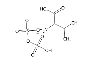 CC(C)C(N)C(=O)O.O=S(=O)(O)OS(=O)(=O)O